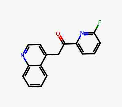 O=C(Cc1ccnc2ccccc12)c1cccc(F)n1